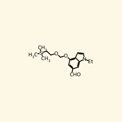 CCn1ccc2c(OCOCC[Si](C)(C)C)cc(C=O)cc21